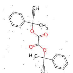 C#CC(C)(OC(=O)C(=O)OC(C)(C#C)c1ccccc1)c1ccccc1